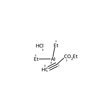 C#CC(=O)OCC.C[CH2][Al][CH2]C.Cl